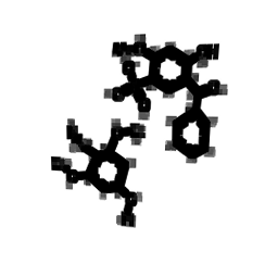 CCOc1cc(OCC)c([N+]#N)c(OCC)c1.COc1cc(O)c(C(=O)c2ccccc2)cc1S(=O)(=O)[O-]